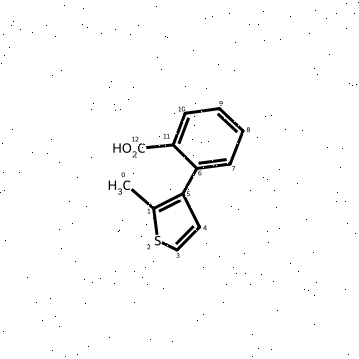 Cc1sccc1-c1ccccc1C(=O)O